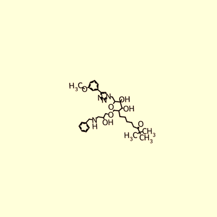 COc1cccc(-c2cn(CC3OC(OCC(O)CNCc4ccccc4)C(CCCCCC(=O)C(C)(C)C)C(O)C3O)nn2)c1